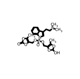 CC1=C(COP(=O)(OCc2oc(=O)oc2C)n2cc(CCN(C)C)c3ccccc32)OC(O)O1